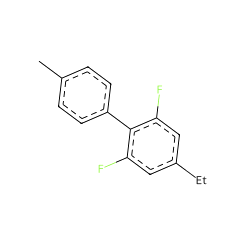 CCc1cc(F)c(-c2ccc(C)cc2)c(F)c1